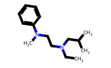 CCN(CCN(C)c1ccccc1)CC(C)C